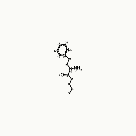 CCCCC(=O)N(N)CCc1ccccn1